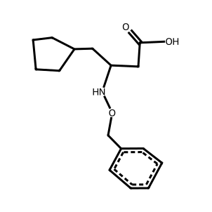 O=C(O)CC(CC1CCCC1)NOCc1ccccc1